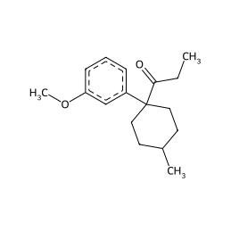 CCC(=O)C1(c2cccc(OC)c2)CCC(C)CC1